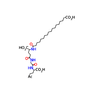 CC(=O)CCC(NC(=O)CNC(=O)CCC(NC(=O)CCCCCCCCCCCCCCCCC(=O)O)C(=O)O)C(=O)O